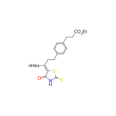 CCCCCCC(CCc1ccc(CCC(=O)OCC)cc1)=C1SC(=S)NC1=O